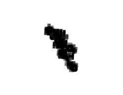 CC1(C(=O)Nc2cccnc2)COC(c2nc(-c3ccc(F)cc3)c(-c3ccnc(NCCCN4CCOCC4)n3)[nH]2)OC1